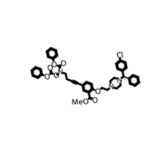 COC(=O)c1cc(C#CCCN(OC(=O)Oc2ccccc2)C(=O)Oc2ccccc2)ccc1OCCN1CCN([C@H](c2ccccc2)c2ccc(Cl)cc2)CC1